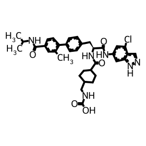 Cc1cc(C(=O)NC(C)C)ccc1-c1ccc(C[C@H](NC(=O)C2CCC(CNC(=O)O)CC2)C(=O)Nc2cc(Cl)c3cn[nH]c3c2)cc1